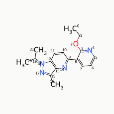 CCOc1ncccc1-c1ccc2c(n1)c(C)nn2C(C)C